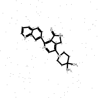 CC1(N)CCN(c2cnc(-c3ccc4cccnc4c3)c3c2CNC3=O)CC1